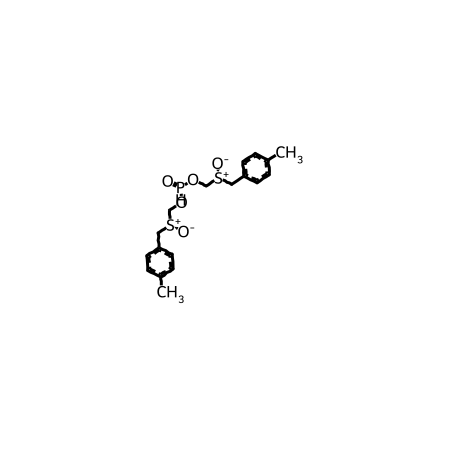 Cc1ccc(C[S@+]([O-])CO[PH](=O)OC[S@@+]([O-])Cc2ccc(C)cc2)cc1